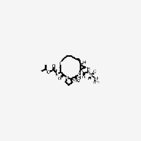 C=C(C)OC(=O)NC1CCCCC/C=C\[C@@H]2C[C@@]2(C(=O)NS(=O)(=O)NCCC)NC(=O)[C@@H]2CCCN2C1=O